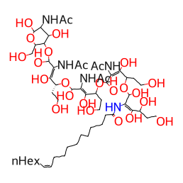 CCCCCC/C=C\CCCCCCCCCC(=O)N/C(=C(\O)C(O)CCO)C(O)OC(CCO)/C(O)=C(/NC(C)=O)C(O)OC(CCO)/C(O)=C(\NC(C)=O)C(O)O[C@H](CCO)/C(O)=C(\NC(C)=O)C(O)OC1C(CO)OC(O)C(NC(C)=O)C1O